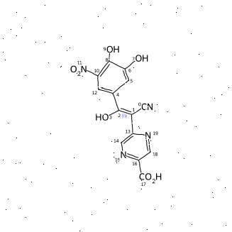 N#C/C(=C(/O)c1cc(O)c(O)c([N+](=O)[O-])c1)c1cnc(C(=O)O)cn1